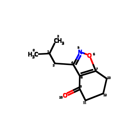 CC(C)Cc1noc2c1C(=O)CCC2